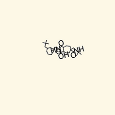 CC(C)(C)CC1CCCCC(CNC(=O)C2CCC(C)(C(=O)NC(C)(C)C)CCC2C(=O)O)C1